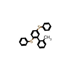 Cc1ccccc1-c1cc(Sc2ccccc2)ccc1Sc1ccccc1